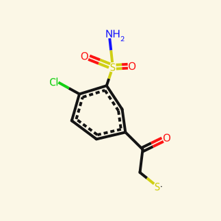 NS(=O)(=O)c1cc(C(=O)C[S])ccc1Cl